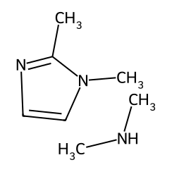 CNC.Cc1nccn1C